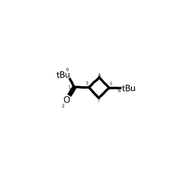 CC(C)(C)C(=O)C1CC(C(C)(C)C)C1